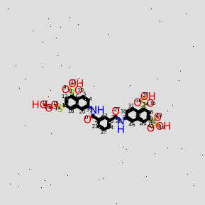 O=C(Nc1ccc2c(S(=O)(=O)O)cc(SOOO)cc2c1)c1cccc(C(=O)Nc2ccc3c(S(=O)(=O)O)cc(S(=O)(=O)O)cc3c2)c1